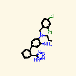 CCCN(Cc1ccc(Cl)cc1Cl)c1ccc(-c2ccccc2-c2nnn[nH]2)cc1N